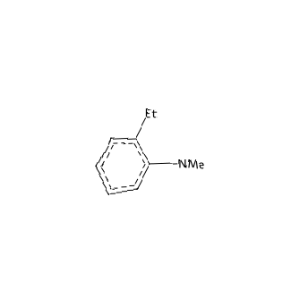 [C]Nc1ccccc1CC